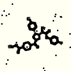 CC(C)N(C(=O)Oc1ccc(F)cc1)[C@H]1CN(C(=O)C2CCN(C(=O)OC(C)(C)C)CC2)C[C@@H]1c1ccc(Cl)cc1